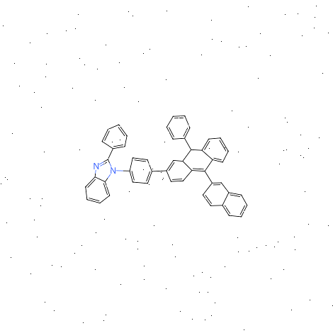 C1=CC2=C(c3ccc4ccccc4c3)c3ccccc3C(c3ccccc3)C2C=C1c1ccc(-n2c(-c3ccccc3)nc3ccccc32)cc1